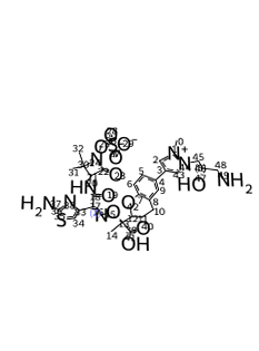 C[n+]1cc(-c2ccc3c(c2)CCC(C(C)(O/N=C(\C(=O)NC2C(=O)N(OS(=O)(=O)[O-])C2(C)C)c2csc(N)n2)C(=O)O)O3)cn1C[C@@H](O)CN